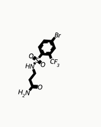 NC(=O)CCNS(=O)(=O)c1ccc(Br)cc1C(F)(F)F